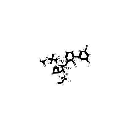 CCS(=O)(=O)N[C@H]1C2CC(C2)N(C(=O)C(C)(C)OC(C)=O)[C@H]1Cc1cccc(-c2cc(F)cc(F)c2)c1F